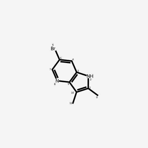 Cc1[nH]c2cc(Br)cnc2c1C